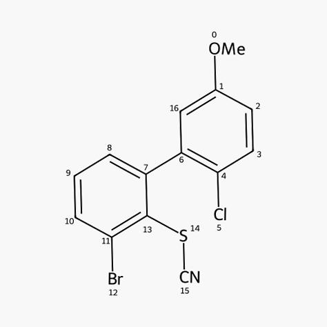 COc1ccc(Cl)c(-c2cccc(Br)c2SC#N)c1